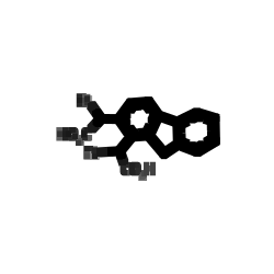 CCC(C(=O)O)c1ccc2c(c1C(CC)C(=O)O)Cc1ccccc1-2